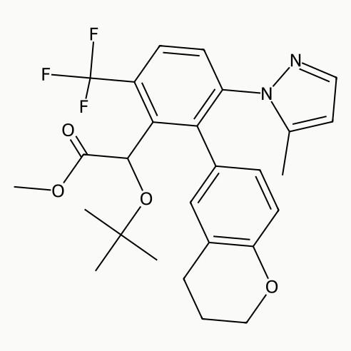 COC(=O)C(OC(C)(C)C)c1c(C(F)(F)F)ccc(-n2nccc2C)c1-c1ccc2c(c1)CCCO2